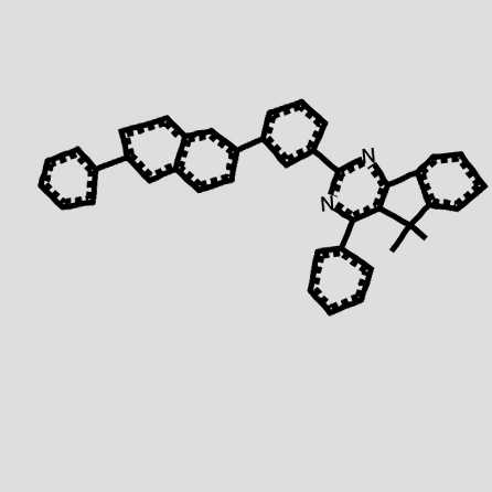 CC1(C)c2ccccc2-c2nc(-c3cccc(-c4ccc5cc(-c6ccccc6)ccc5c4)c3)nc(-c3ccccc3)c21